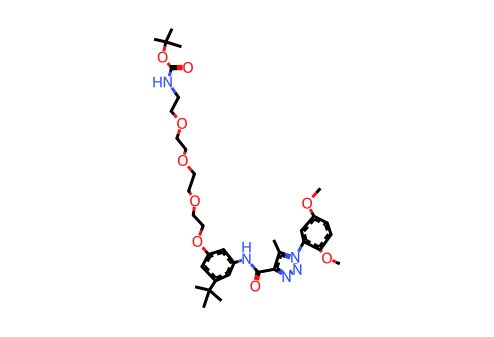 COc1ccc(OC)c(-n2nnc(C(=O)Nc3cc(OCCOCCOCCOCCNC(=O)OC(C)(C)C)cc(C(C)(C)C)c3)c2C)c1